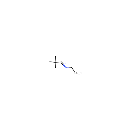 CC(C)(C)/C=N/CC(=O)O